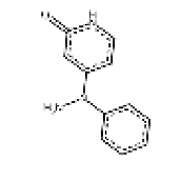 NN(c1ccccc1)c1cc[nH]c(=O)c1